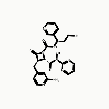 CCC[C@@H](NC(=O)N1C(=O)[C@H](Cc2ccnc(N)c2)[C@H]1C(=O)N(C)c1ncccn1)c1cccnc1